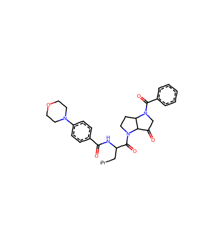 CC(C)CC(NC(=O)c1ccc(N2CCOCC2)cc1)C(=O)N1CCC2C1C(=O)CN2C(=O)c1ccccc1